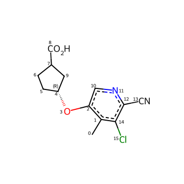 Cc1c(O[C@@H]2CCC(C(=O)O)C2)cnc(C#N)c1Cl